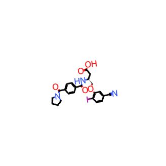 N#Cc1ccc(I)c(OC[C@@H](CC(=O)O)NC(=O)c2ccc(C(=O)N3CCCC3)cc2)c1